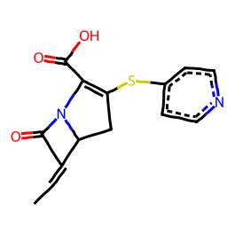 CC=C1C(=O)N2C(C(=O)O)=C(Sc3ccncc3)CC12